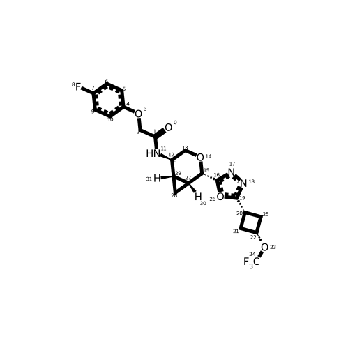 O=C(COc1ccc(F)cc1)N[C@H]1CO[C@H](c2nnc([C@H]3C[C@@H](OC(F)(F)F)C3)o2)[C@@H]2C[C@@H]21